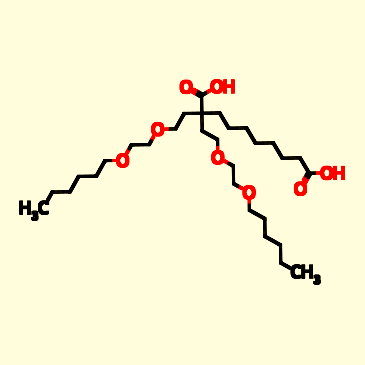 CCCCCCOCCOCCC(CCCCCCCC(=O)O)(CCOCCOCCCCCC)C(=O)O